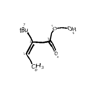 CC=C(C(=O)OO)C(C)(C)C